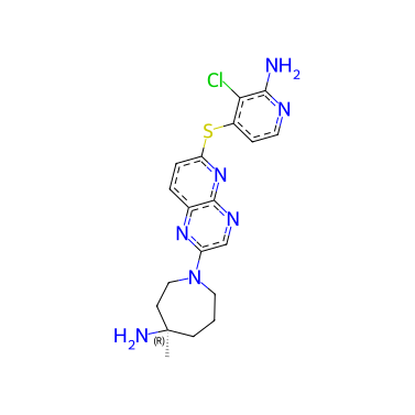 C[C@@]1(N)CCCN(c2cnc3nc(Sc4ccnc(N)c4Cl)ccc3n2)CC1